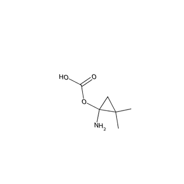 CC1(C)CC1(N)OC(=O)O